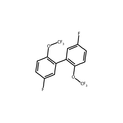 Fc1ccc(OC(F)(F)F)c(-c2cc(F)ccc2OC(F)(F)F)c1